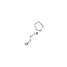 C1CCCC1.OCCO